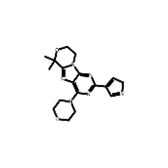 CC1(C)OCCn2c1nc1c(N3CCOCC3)nc(C3=CCN=C3)nc12